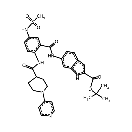 CC(C)(C)OC(=O)c1cc2ccc(NC(=O)c3cc(NS(C)(=O)=O)ccc3NC(=O)C3CCN(c4ccncc4)CC3)cc2[nH]1